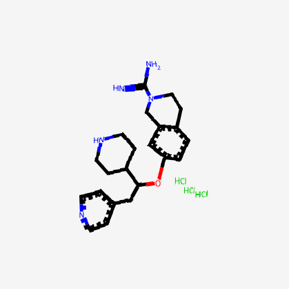 Cl.Cl.Cl.N=C(N)N1CCc2ccc(OC(Cc3ccncc3)C3CCNCC3)cc2C1